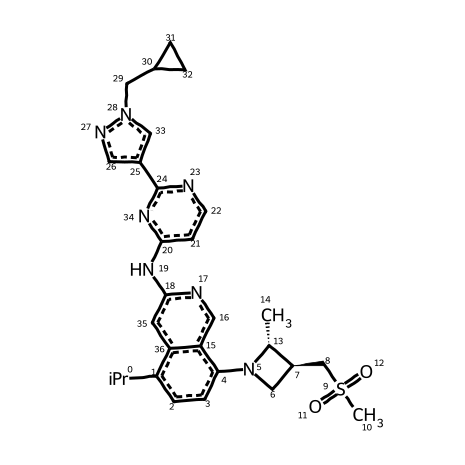 CC(C)c1ccc(N2C[C@H](CS(C)(=O)=O)[C@H]2C)c2cnc(Nc3ccnc(-c4cnn(CC5CC5)c4)n3)cc12